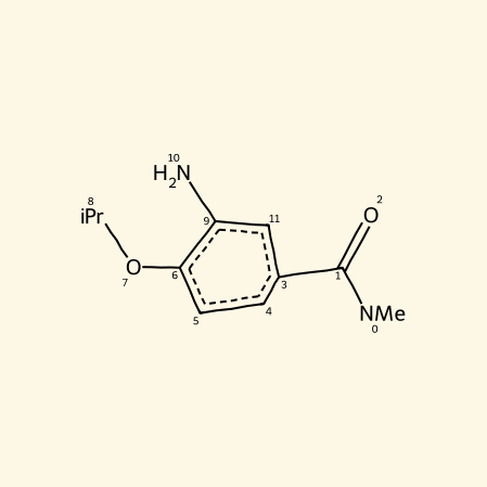 CNC(=O)c1ccc(OC(C)C)c(N)c1